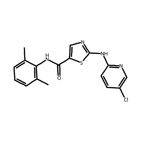 Cc1cccc(C)c1NC(=O)c1cnc(Nc2ccc(Cl)cn2)s1